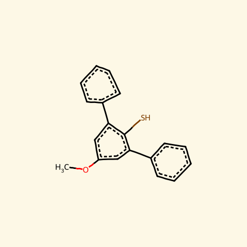 COc1cc(-c2ccccc2)c(S)c(-c2ccccc2)c1